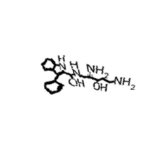 NCCC(O)[C@@H](N)CNC(O)c1[nH]c2ccccc2c1-c1ccccc1